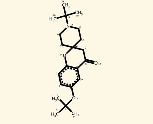 CC(C)(C)Oc1ccc2c(c1)C(=O)CC1(CCN(C(C)(C)C)CC1)O2